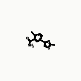 Cc1nc(-c2ccc(C)c(C(N)=O)c2)cs1